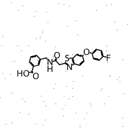 O=C(Cc1nc2ccc(Oc3ccc(F)cc3)cc2s1)NCc1cccc(C(=O)O)c1